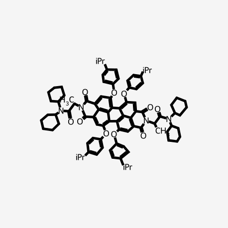 CC(C)c1ccc(Oc2cc3c4c(cc(Oc5ccc(C(C)C)cc5)c5c6c(Oc7ccc(C(C)C)cc7)cc7c8c(cc(Oc9ccc(C(C)C)cc9)c(c2c45)c86)C(=O)N(C(C)C(=O)N(C2CCCCC2)C2CCCCC2)C7=O)C(=O)N(C(C)C(=O)N(C2CCCCC2)C2CCCCC2)C3=O)cc1